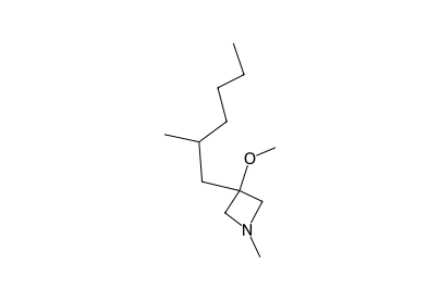 CCCCC(C)CC1(OC)CN(C)C1